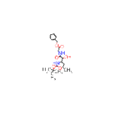 CCCC(NC(=O)OC(C)(C)C)C(O)C(=O)NCC(=O)OCc1ccccc1